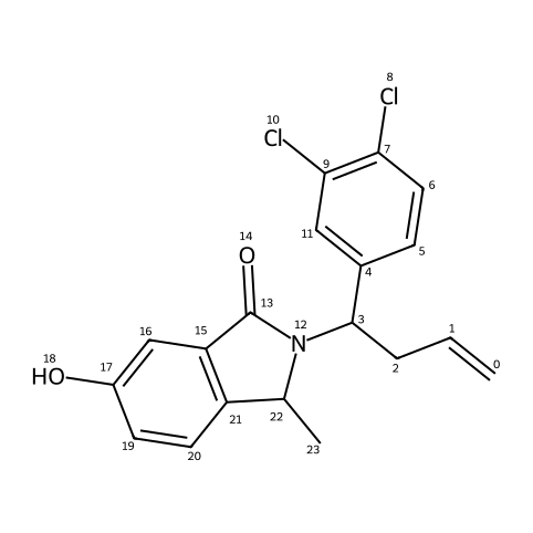 C=CCC(c1ccc(Cl)c(Cl)c1)N1C(=O)c2cc(O)ccc2C1C